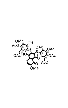 COC1=CCc2c(O)c(S[C@H]3O[C@@H](COC(C)=O)[C@H](OC(C)=O)[C@@H](OC)[C@@H]3O)c(S[C@@H]3O[C@H](COC(C)=O)[C@@H](OC(C)=O)[C@H](OC(C)=O)[C@H]3OC(C)=O)c(O)c2C1=O